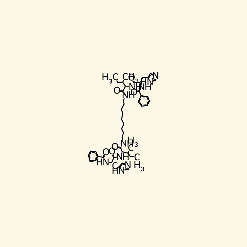 CCC(C)[C@H](NC(=O)[C@H](Cc1cnc[nH]1)NC(=O)c1ccccc1)C(=O)NCCCCCCCCCNC(=O)[C@H](NC(=O)[C@@H](Cc1cnc[nH]1)NC(=O)c1ccccc1)C(C)CC